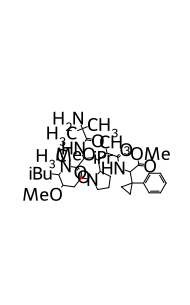 CCC(C)C(C(CC(=O)N1CCCC1C(OC)C(C)C(=O)NC(C(=O)OC)C1(c2ccccc2)CC1)OC)N(C)C(=O)C(NC(=O)C(C)(C)N)C(C)C